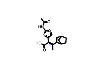 CC(=O)Nc1nc(/C(C(=O)O)=C(/C)C2CC3CCC2C3)cs1